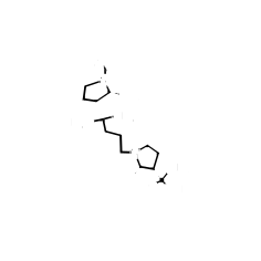 CCN1CC[C@@H](C(C)(C)CCCN2CC[C@@H](C(C)(C)C)[C@H]2C)[C@@H]1C